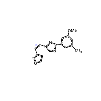 COc1cc(C)cc(-c2ncn(/C=C\c3ccon3)n2)c1